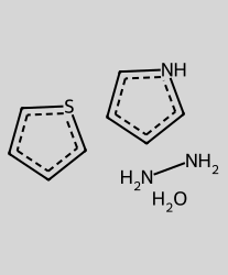 NN.O.c1cc[nH]c1.c1ccsc1